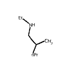 [CH2]CNCC(C)CCC